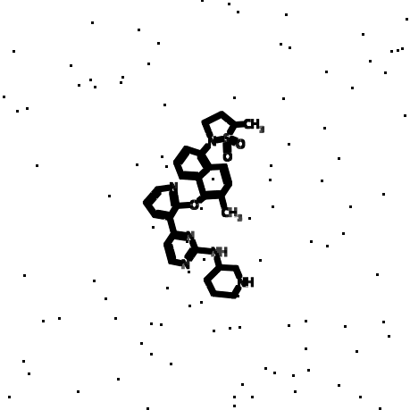 Cc1ccc2c(N3CCC(C)S3(=O)=O)cccc2c1Oc1ncccc1-c1ccnc(NC2CCCNC2)n1